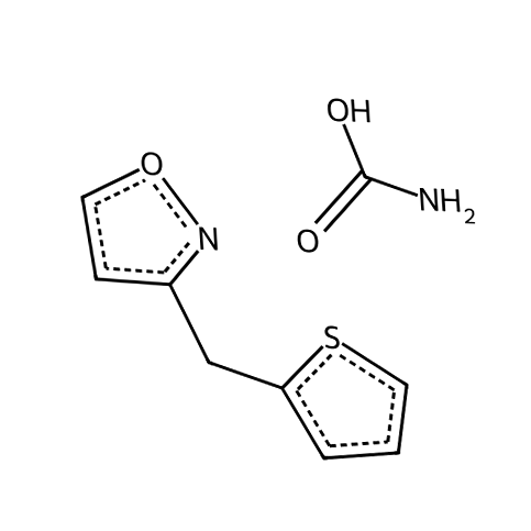 NC(=O)O.c1csc(Cc2ccon2)c1